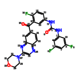 O=C(Nc1cc(F)cc(F)c1)Nc1ccc(F)c(C(=O)c2ccc3ncc(N4CCOCC4)nc3c2)c1